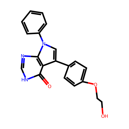 O=c1[nH]cnc2c1c(-c1ccc(OCCO)cc1)cn2-c1ccccc1